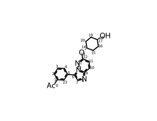 CC(=O)c1cccc(-c2cnc3ccc(O[C@H]4CC[C@H](O)CC4)nn23)c1